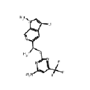 CC(Sc1nc(N)cc(C(F)(F)F)n1)c1cc2c(Cl)cn(C)c2cn1